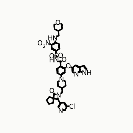 O=C(NS(=O)(=O)c1ccc(NCC2CCOCC2)c([N+](=O)[O-])c1)c1ccc(N2CCC(CN3C(=O)C4(CCCC4)C3c3cncc(Cl)c3)CC2)cc1Oc1cnc2[nH]ccc2c1